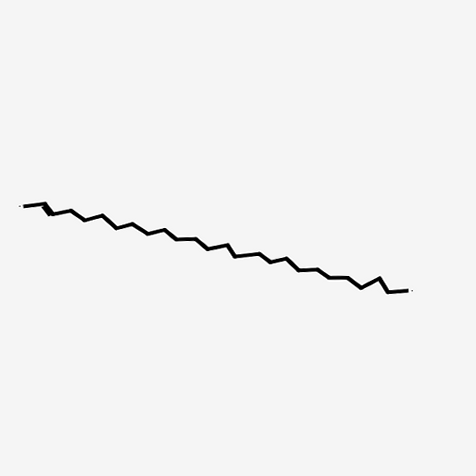 [CH2]C=CCCCCCCCCCCCCCCCCCCCCCC[CH2]